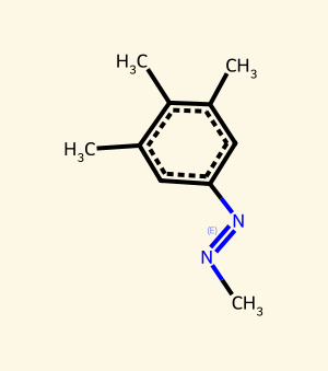 C/N=N/c1cc(C)c(C)c(C)c1